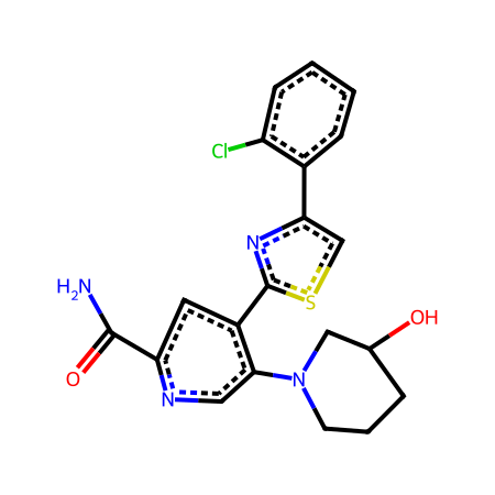 NC(=O)c1cc(-c2nc(-c3ccccc3Cl)cs2)c(N2CCCC(O)C2)cn1